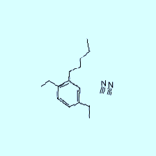 C#N.C#N.CCCCCc1cc(CC)ccc1CC